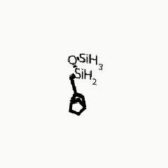 [SiH3]O[SiH2]CC1CC2CCC1C2